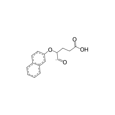 O=[C]C(CCC(=O)O)Oc1ccc2ccccc2c1